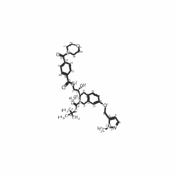 Cn1nccc1COc1ccc2c(c1)CN(C(=O)OC(C)(C)C)[C@@]([SiH3])([C@H](O)CNC(=O)c1ccc(C(=O)N3CCOCC3)cc1)C2